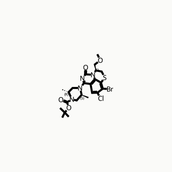 COC[C@H]1CSc2c(Br)c(Cl)cc3c(N4C[C@@H](C)N(C(=O)OC(C)(C)C)C[C@@H]4C)nc(=O)n1c23